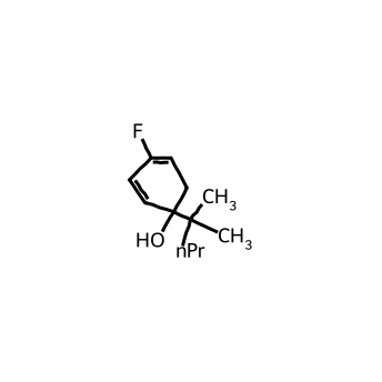 CCCC(C)(C)C1(O)C=CC(F)=CC1